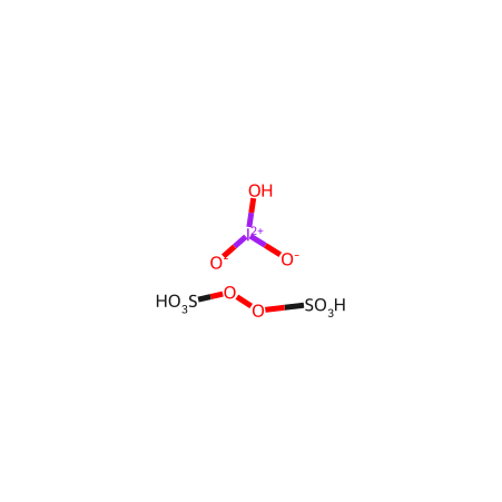 O=S(=O)(O)OOS(=O)(=O)O.[O-][I+2]([O-])O